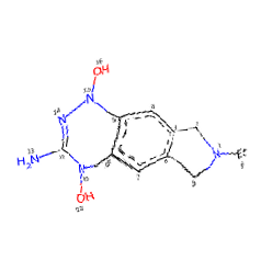 CCN1Cc2cc3c(cc2C1)N(O)C(N)=NN3O